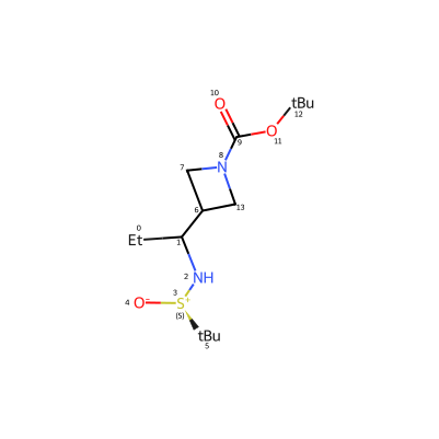 CCC(N[S@+]([O-])C(C)(C)C)C1CN(C(=O)OC(C)(C)C)C1